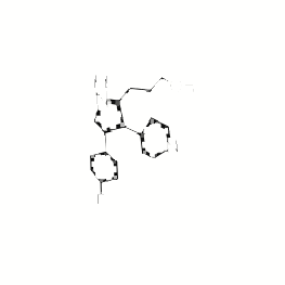 OCCCc1[nH]cc(-c2ccc(F)cc2)c1-c1ccncc1